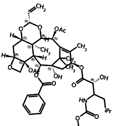 C=C[C@H]1O[C@H]2C[C@H]3OC[C@@]3(OC(C)=O)[C@H]3[C@H](OC(=O)c4ccccc4)[C@]4(O)C[C@H](OC(=O)[C@H](O)C(CC(C)C)NC(=O)OC(C)(C)C)C(C)=C([C@H](OC(C)=O)[C@H](O1)[C@]23C)C4(C)C